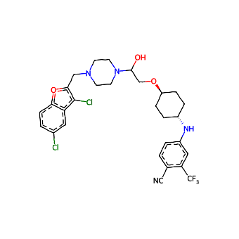 N#Cc1ccc(N[C@H]2CC[C@H](OCC(O)N3CCN(Cc4oc5ccc(Cl)cc5c4Cl)CC3)CC2)cc1C(F)(F)F